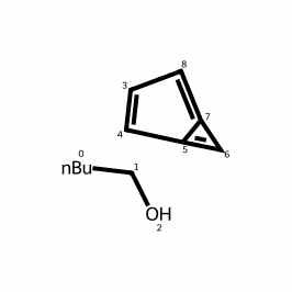 CCCCCO.c1cc2cc-2c1